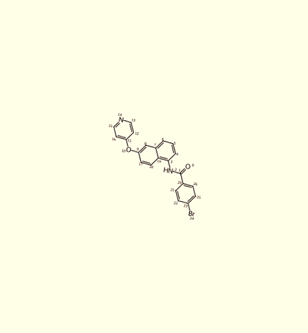 O=C(Nc1cccc2cc(Oc3ccncc3)ccc12)c1ccc(Br)cc1